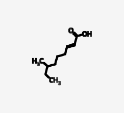 CCC(C)CCCC=CC(=O)O